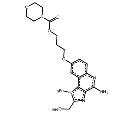 CCCn1c(COC)nc2c(N)nc3ccc(OCCCOC(=O)N4CCOCC4)cc3c21